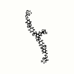 C=CC(=O)OCCc1ccc(OC(=O)[C@H]2CC[C@H](C(=O)Oc3ccc(OC(=O)[C@H]4CC[C@H](C(=O)Oc5ccc(CCOC(=O)C=C)cc5)CC4)c4c3SC(=C(C#N)C#N)S4)CC2)cc1